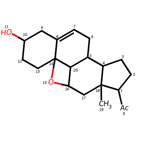 CC(=O)C1CCC2C3CC=C4CC(O)CCC45OC(CC12C)C35